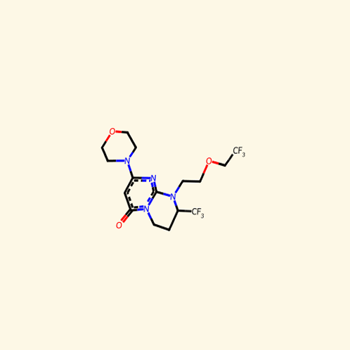 O=c1cc(N2CCOCC2)nc2n1CCC(C(F)(F)F)N2CCOCC(F)(F)F